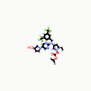 CC[C@@H]1C[C@H](N(Cc2cc(C(F)(F)F)cc(C(F)(F)F)c2)c2ncc(N3CC[C@H](O)C3)cn2)CN1OC(=O)OC(C)C